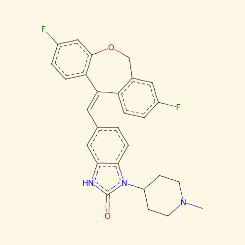 CN1CCC(n2c(=O)[nH]c3cc(/C=C4\c5ccc(F)cc5COc5cc(F)ccc54)ccc32)CC1